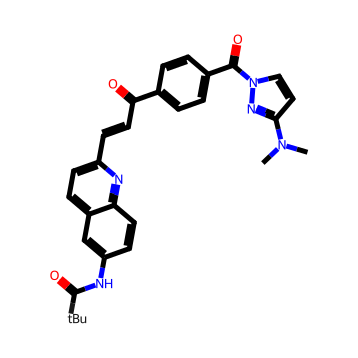 CN(C)c1ccn(C(=O)c2ccc(C(=O)C=Cc3ccc4cc(NC(=O)C(C)(C)C)ccc4n3)cc2)n1